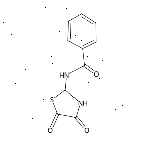 O=C1NC(NC(=O)c2ccccc2)SC1=O